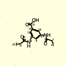 O=C(CI)Nc1cc(NC(=O)CI)cc(C(=O)O)c1